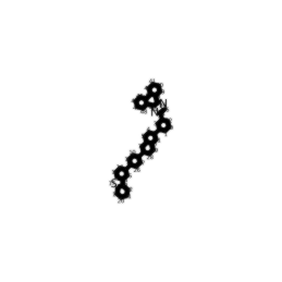 c1cc(-c2ccc3cc(-c4ccc(-c5ccc6sc7ccccc7c6c5)cc4)ccc3c2)cc(-c2cnc3c4ccccc4c4ccccc4c3n2)c1